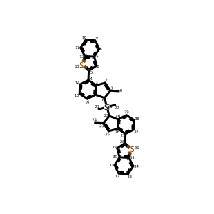 CC1=Cc2c(-c3cc4ccccc4s3)cccc2C1[Si](C)(C)C1C(C)=Cc2c(-c3cc4ccccc4s3)cccc21